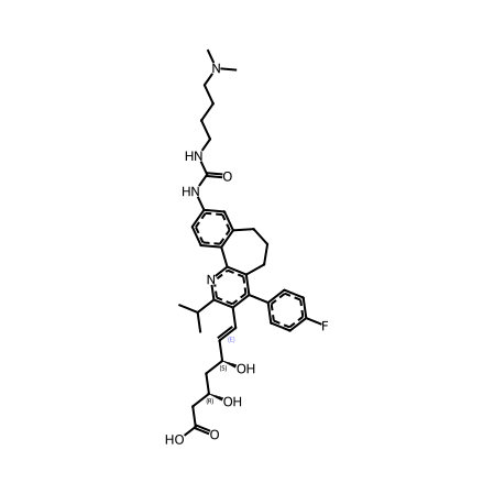 CC(C)c1nc2c(c(-c3ccc(F)cc3)c1/C=C/[C@@H](O)C[C@@H](O)CC(=O)O)CCCc1cc(NC(=O)NCCCCN(C)C)ccc1-2